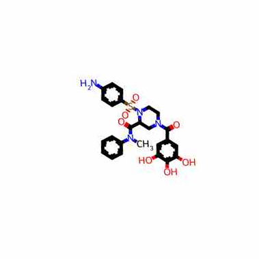 CN(C(=O)C1CN(C(=O)c2cc(O)c(O)c(O)c2)CCN1S(=O)(=O)c1ccc(N)cc1)c1ccccc1